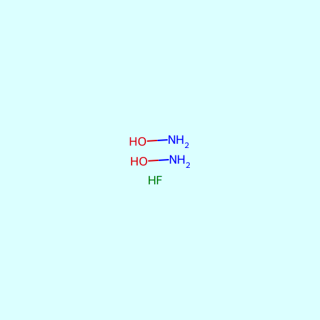 F.NO.NO